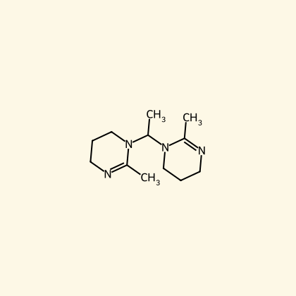 CC1=NCCCN1C(C)N1CCCN=C1C